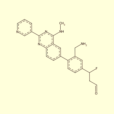 CNc1nc(-c2cccnc2)nc2ccc(-c3ccc(C(F)CC=O)cc3CN)cc12